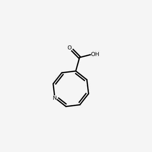 O=C(O)C1=CC=CC=NC=C1